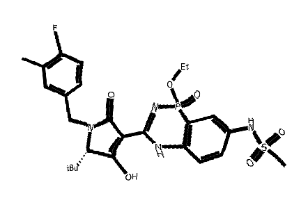 CCOP1(=O)N=C(C2=C(O)[C@H](C(C)(C)C)N(Cc3ccc(F)c(C)c3)C2=O)Nc2ccc(NS(C)(=O)=O)cc21